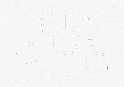 c1ccc2c(c1)-c1ccccc1[CH]2[Hf][CH]1c2ccccc2-c2ccccc21